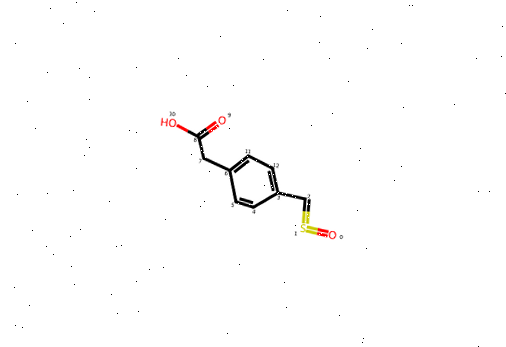 O=S=Cc1ccc(CC(=O)O)cc1